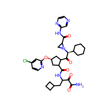 NC(=O)C(=O)C(CC1CCC1)NC(=O)C1C[C@@H](Oc2cc(Cl)ccn2)CC1C(=O)[C@H](C1CCCCC1)N1CC1C(=O)Nc1cnccn1